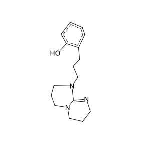 Oc1ccccc1CCCN1CCCN2CCCN=C21